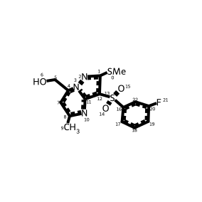 CSc1nn2c(CO)cc(C)nc2c1S(=O)(=O)c1cccc(F)c1